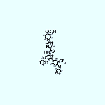 CC[C@@H]1CCCN1Cc1sc(NC(=O)c2cnc(N3CCC(C(=O)O)CC3)cn2)nc1-c1ccc(O[C@@H]2CCOC2)c(C(F)(F)F)c1